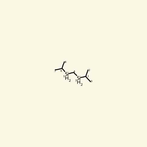 CC(C)[SiH2]C[SiH2]C(C)C